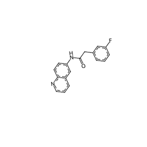 O=C(Cc1cccc(F)c1)Nc1ccc2ncccc2c1